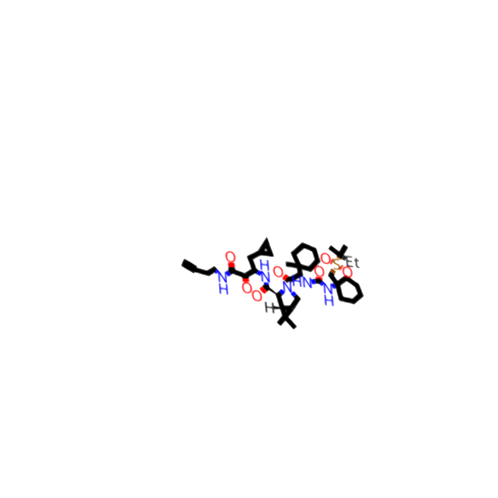 C#CCCNC(=O)C(=O)C(CC1CC1)NC(=O)[C@@H]1[C@@H]2C(CN1C(=O)[C@@H](NC(=O)NC1(CS(=O)(=O)C(C)(C)CC)CCCCC1)C1(C)CCCCC1)C2(C)C